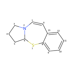 C1=CN2CCCC2Sc2ccccc21